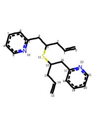 C=CCC(Cc1ccccn1)SC(CC=C)Cc1ccccn1